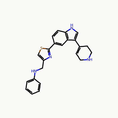 C1=C(c2c[nH]c3ccc(-c4nc(CNc5ccccc5)cs4)cc23)CCNC1